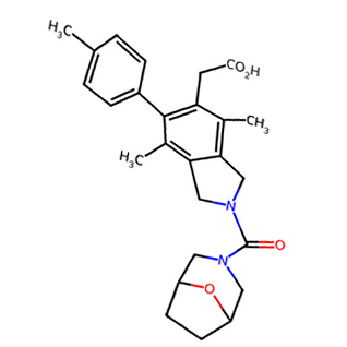 Cc1ccc(-c2c(C)c3c(c(C)c2CC(=O)O)CN(C(=O)N2CC4CCC(C2)O4)C3)cc1